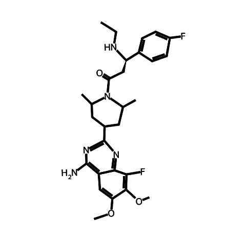 CCN[C@H](CC(=O)N1C(C)CC(c2nc(N)c3cc(OC)c(OC)c(F)c3n2)CC1C)c1ccc(F)cc1